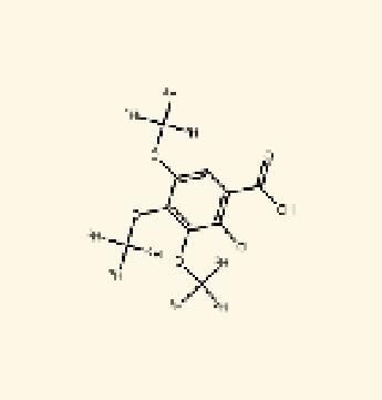 [2H]C([2H])([2H])Oc1cc(C(=O)O)c(Cl)c(OC([2H])([2H])[2H])c1OC([2H])([2H])[2H]